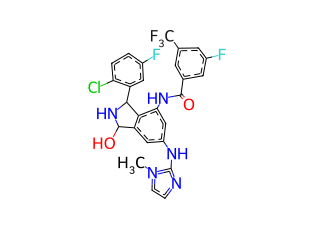 Cn1ccnc1Nc1cc(NC(=O)c2cc(F)cc(C(F)(F)F)c2)c2c(c1)C(O)NC2c1cc(F)ccc1Cl